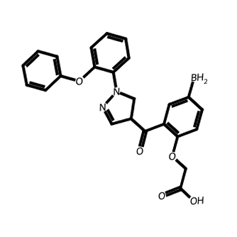 Bc1ccc(OCC(=O)O)c(C(=O)C2C=NN(c3ccccc3Oc3ccccc3)C2)c1